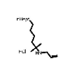 C=CCNC(C)(C)CCCCCCCCCCC.Cl